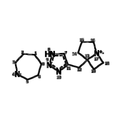 C1CCC[N]CC1.c1[nH]nnc1CC12CCC[N+]1CC2